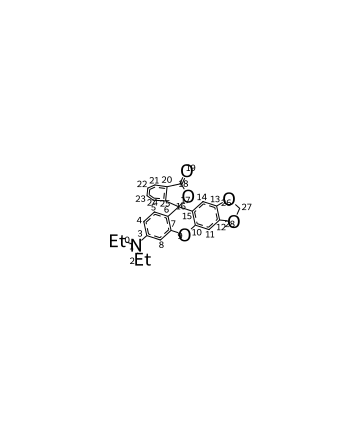 CCN(CC)c1ccc2c(c1)Oc1cc3c(cc1C21OC(=O)c2ccccc21)OCO3